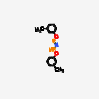 Cc1cccc(OP=NPOc2cccc(C)c2)c1